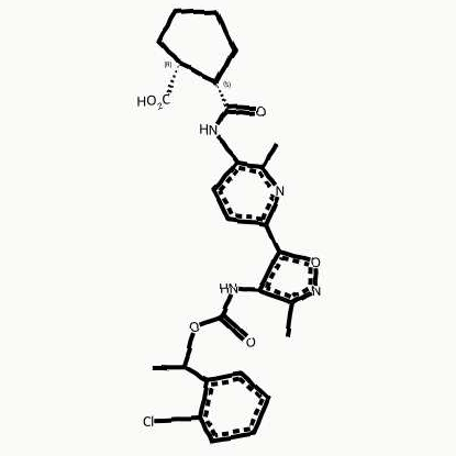 Cc1nc(-c2onc(C)c2NC(=O)OC(C)c2ccccc2Cl)ccc1NC(=O)[C@H]1CCCC[C@H]1C(=O)O